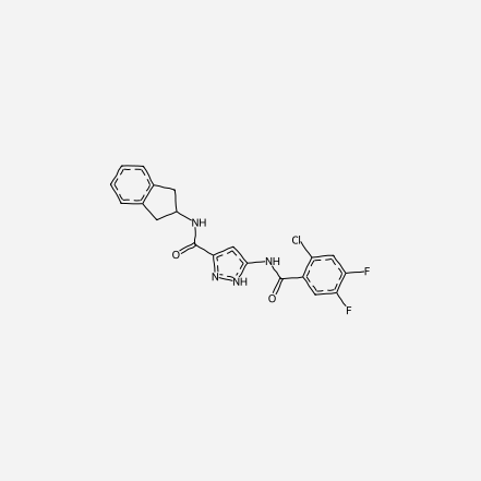 O=C(NC1Cc2ccccc2C1)c1cc(NC(=O)c2cc(F)c(F)cc2Cl)[nH]n1